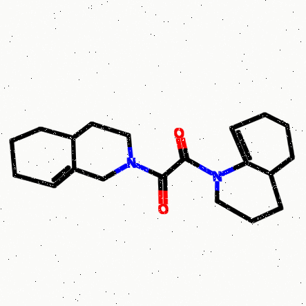 O=C(C(=O)N1CCCC2CCCC=C21)N1CCC2CCCC=C2C1